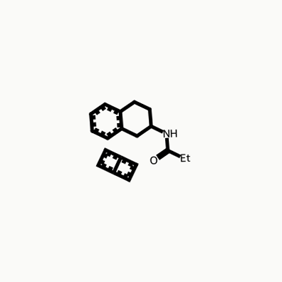 CCC(=O)NC1CCc2ccccc2C1.c1cc2ccc1-2